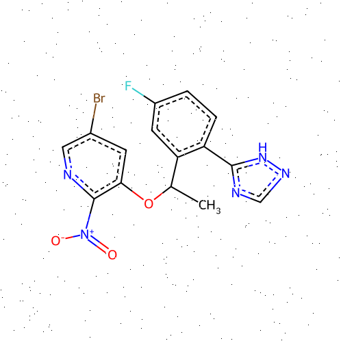 CC(Oc1cc(Br)cnc1[N+](=O)[O-])c1cc(F)ccc1-c1ncn[nH]1